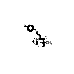 CC(C)(CF)C(=O)C(CCOc1ccc(Cl)cc1)n1cncn1